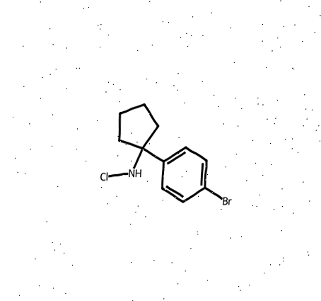 ClNC1(c2ccc(Br)cc2)CCCC1